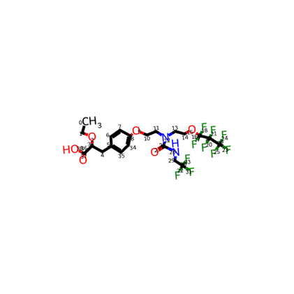 CCOC(Cc1ccc(OCCN(CCOC(F)(F)C(F)(F)C(F)(F)F)C(=O)NCC(F)(F)F)cc1)C(=O)O